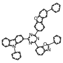 c1ccc(-c2ccc3oc4cc(-c5nc(-c6ccc7c8ccccc8n(-c8ccccc8)c7c6)nc(-c6cccc7nc(-c8ccccc8)oc67)n5)ccc4c3c2)cc1